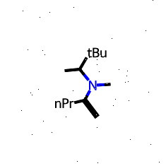 C=C(CCC)N(C)C(C)C(C)(C)C